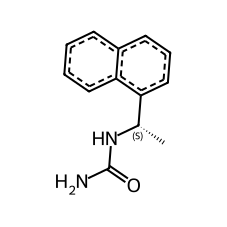 C[C@H](NC(N)=O)c1cccc2ccccc12